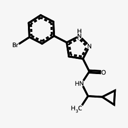 CC(NC(=O)c1cc(-c2cccc(Br)c2)[nH]n1)C1CC1